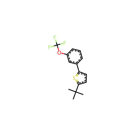 CC(C)(C)c1ccc(-c2cccc(OC(F)(F)F)c2)s1